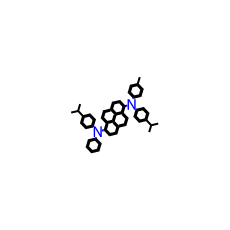 Cc1ccc(N(c2ccc(C(C)C)cc2)c2ccc3ccc4c(N(c5ccccc5)c5ccc(C(C)C)cc5)ccc5ccc2c3c54)cc1